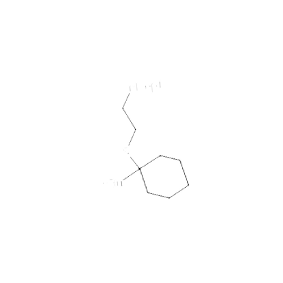 CCCCCCCCCSC1(CCCC)CCCCC1